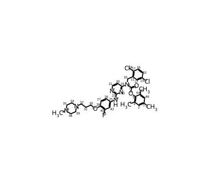 Cc1cc(C)c(OC(=O)N(Cc2cc(Cl)ccc2Cl)c2ccnc(Nc3ccc(OCCCN4CCN(C)CC4)c(F)c3)n2)c(C)c1